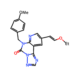 CCOC=Cc1cnc2c(c1)c1ncnn1c(=O)n2Cc1ccc(OC)cc1